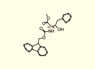 COC(=O)[C@@H](NC(=O)OCC1c2ccccc2-c2ccccc21)[C@H](O)Cc1ccccc1